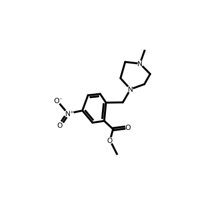 COC(=O)c1cc([N+](=O)[O-])ccc1CN1CCN(C)CC1